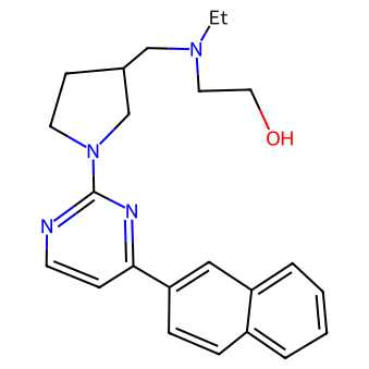 CCN(CCO)CC1CCN(c2nccc(-c3ccc4ccccc4c3)n2)C1